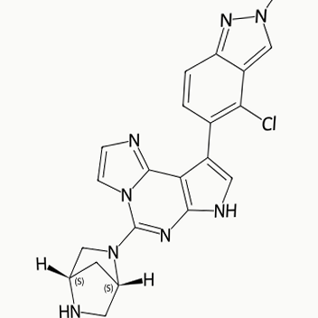 Cn1cc2c(Cl)c(-c3c[nH]c4nc(N5C[C@@H]6C[C@H]5CN6)n5ccnc5c34)ccc2n1